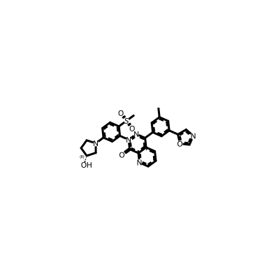 Cc1cc(-c2cnco2)cc(-c2nn(-c3cc(N4CC[C@@H](O)C4)ccc3S(C)(=O)=O)c(=O)c3ncccc23)c1